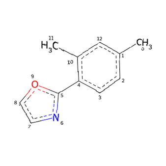 Cc1ccc(-c2nc[c]o2)c(C)c1